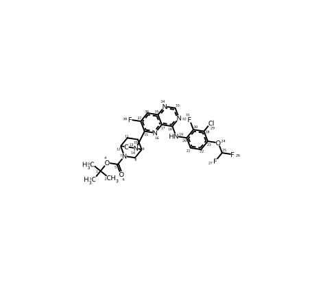 CC(C)(C)OC(=O)N1CC2CCC1CN2c1nc2c(Nc3ccc(OC(F)F)c(Cl)c3F)ncnc2cc1F